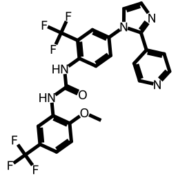 COc1ccc(C(F)(F)F)cc1NC(=O)Nc1ccc(-n2ccnc2-c2ccncc2)cc1C(F)(F)F